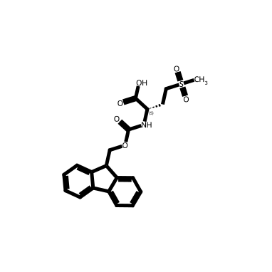 CS(=O)(=O)CC[C@H](NC(=O)OCC1c2ccccc2-c2ccccc21)C(=O)O